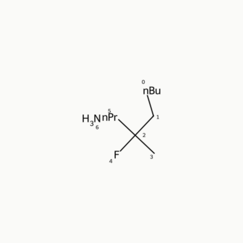 CCCCCC(C)(F)CCC.N